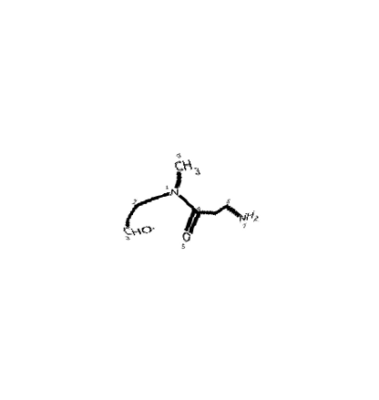 CN(C[C]=O)C(=O)CN